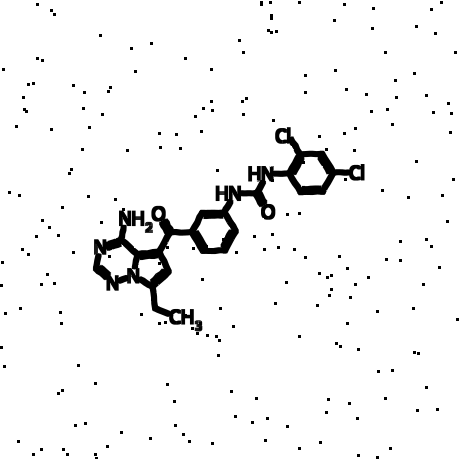 CCc1cc(C(=O)c2cccc(NC(=O)Nc3ccc(Cl)cc3Cl)c2)c2c(N)ncnn12